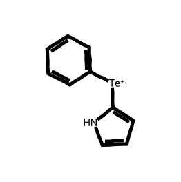 c1ccc([Te+]c2ccc[nH]2)cc1